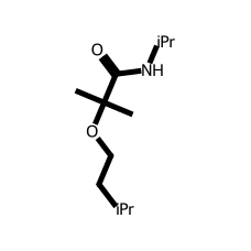 CC(C)CCOC(C)(C)C(=O)NC(C)C